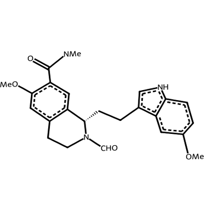 CNC(=O)c1cc2c(cc1OC)CCN(C=O)[C@H]2CCc1c[nH]c2ccc(OC)cc12